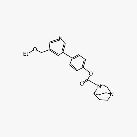 CCOCc1cncc(-c2ccc(OC(=O)N3CCN4CCC3CC4)cc2)c1